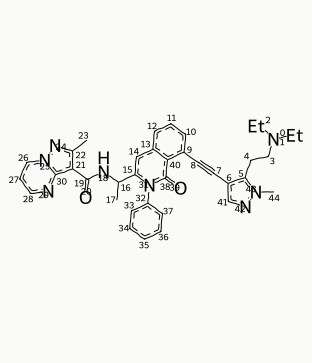 CCN(CC)CCc1c(C#Cc2cccc3cc(C(C)NC(=O)c4c(C)nn5cccnc45)n(-c4ccccc4)c(=O)c23)cnn1C